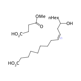 CCCCCCC(O)C/C=C\CCCCCCCC(=O)O.COC(=O)CCC(=O)O